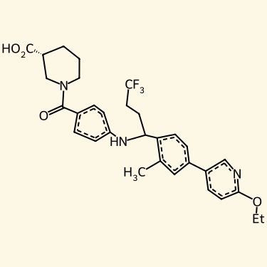 CCOc1ccc(-c2ccc(C(CCC(F)(F)F)Nc3ccc(C(=O)N4CCC[C@@H](C(=O)O)C4)cc3)c(C)c2)cn1